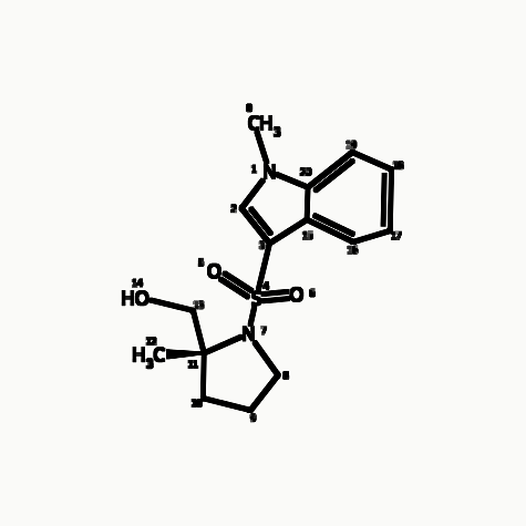 Cn1cc(S(=O)(=O)N2CCC[C@]2(C)CO)c2ccccc21